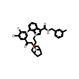 COc1cccc2c(C(=O)NCc3cccc(C)c3)cn(CCCN3C4CCC3CN(CC(=O)c3ccc(F)c(Cl)c3)C4)c12